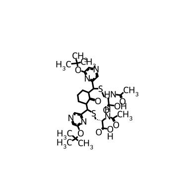 CC(=O)N[C@@H](CSC(c1cncc(OC(C)(C)C)n1)C1CCCC(C(SC[C@H](NC(C)=O)C(=O)O)c2cncc(OC(C)(C)C)n2)C1=O)C(=O)O